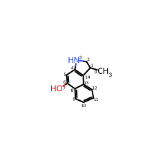 CC1CNc2cc(O)c3ccccc3c21